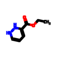 CCOC(=O)C1=CC=CNN1